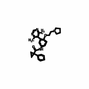 Cc1ncnc(C)c1-c1cc(NC(=O)C2(c3ccccc3)CC2)ccc1OCCN1CCCC1